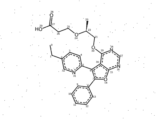 CCc1ccc(-c2c(-c3ccccc3)oc3ncnc(OC[C@H](C)OCCC(=O)O)c23)nc1